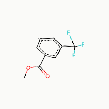 COC(=O)c1c[c]cc(C(F)(F)F)c1